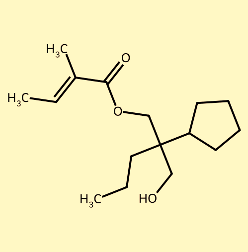 CC=C(C)C(=O)OCC(CO)(CCC)C1CCCC1